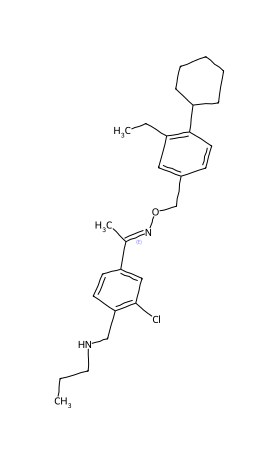 CCCNCc1ccc(/C(C)=N/OCc2ccc(C3CCCCC3)c(CC)c2)cc1Cl